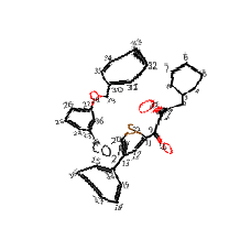 O=C(CC1CCCCC1)C(=O)c1cc(-c2ccccc2)cs1.O=C(O)c1cccc(OCc2ccccc2)c1